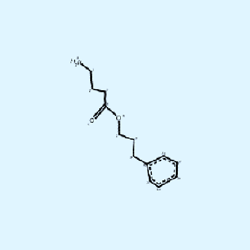 NCCCC(=O)OCCCc1ccccc1